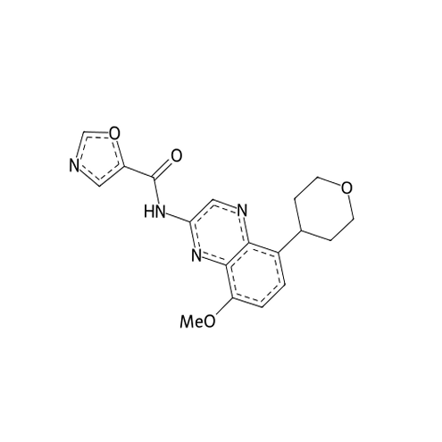 COc1ccc(C2CCOCC2)c2ncc(NC(=O)c3cnco3)nc12